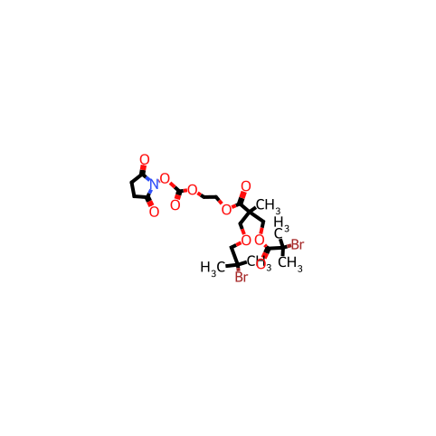 CC(C)(Br)COCC(C)(COC(=O)C(C)(C)Br)C(=O)OCCOC(=O)ON1C(=O)CCC1=O